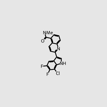 CNC(=O)c1cccc2nc(-c3c[nH]c4c(Cl)c(F)c(F)cc34)ccc12